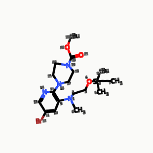 CN(CCO[Si](C)(C)C(C)(C)C)c1cc(Br)cnc1N1CCN(C(=O)OC(C)(C)C)CC1